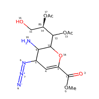 COC(=O)C1=CC(N=[N+]=[N-])C(N)C(C(OC(C)=O)[C@@H](CO)OC(C)=O)O1